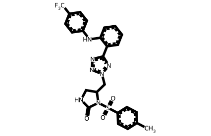 Cc1ccc(S(=O)(=O)N2C(=O)NCC2Cn2nnc(-c3ccccc3Nc3ccc(C(F)(F)F)cc3)n2)cc1